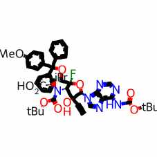 C#C[C@]1(O)[C@H](n2cnc3c(NC(=O)OC(C)(C)C)ncnc32)O[C@@](F)(COC(c2ccccc2)(c2ccccc2)c2ccc(OC)cc2)[C@H]1N(C(=O)OC(C)(C)C)[C@H](C(=O)O)C(C)C